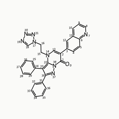 O=c1c(-c2ccc3ncccc3c2)cn(CCn2cnnn2)c2c(-c3ccccc3)c(-c3ccccc3)nn12